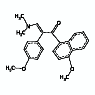 COc1ccc(/C(=C\N(C)C)C(=O)c2ccc(OC)c3ccccc23)cc1